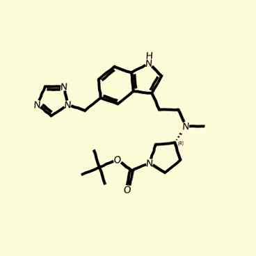 CN(CCc1c[nH]c2ccc(Cn3cncn3)cc12)[C@@H]1CCN(C(=O)OC(C)(C)C)C1